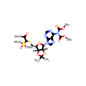 COC(=O)C(SC[C@H]1O[C@@H](n2cnc3c(N(C(=O)OC(C)(C)C)C(=O)OC(C)(C)C)ncnc32)[C@@H]2OC(C)(C)O[C@@H]21)P(=O)(OC)OC